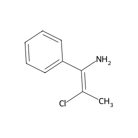 CC(Cl)=C(N)c1ccccc1